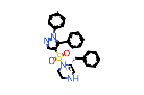 O=S(=O)(c1cnn(-c2ccccc2)c1-c1ccccc1)N1CCNC[C@H]1Cc1ccccc1